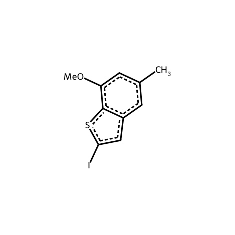 COc1cc(C)cc2cc(I)sc12